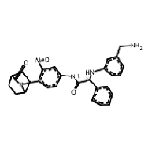 COc1cc(NC(=O)[C@@H](Nc2cccc(CN)c2)c2ccccc2)ccc1N1C(=O)C2CCC1CC2